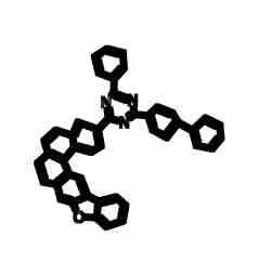 c1ccc(-c2ccc(-c3nc(-c4ccccc4)nc(-c4ccc5c(ccc6ccc7cc8oc9ccccc9c8cc7c65)c4)n3)cc2)cc1